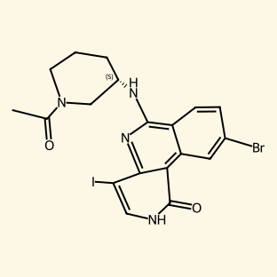 CC(=O)N1CCC[C@H](Nc2nc3c(I)c[nH]c(=O)c3c3cc(Br)ccc23)C1